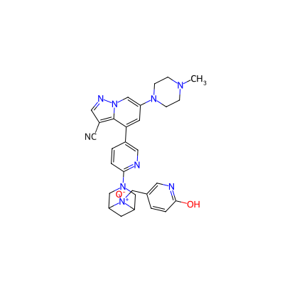 CN1CCN(c2cc(-c3ccc(N4CC5CC(C4)[N+]5([O-])Cc4ccc(O)nc4)nc3)c3c(C#N)cnn3c2)CC1